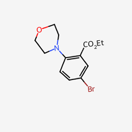 CCOC(=O)c1cc(Br)ccc1N1CCOCC1